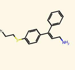 CC(C)CCSc1ccc(C(=CCN)c2ccccc2)cc1